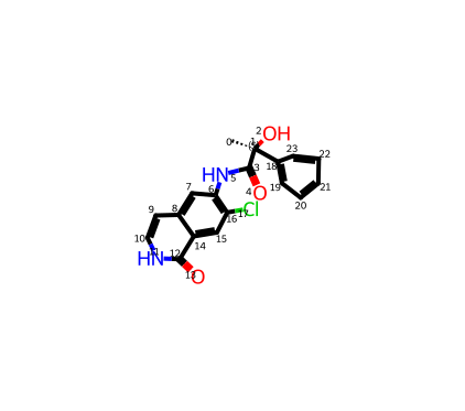 C[C@@](O)(C(=O)Nc1cc2cc[nH]c(=O)c2cc1Cl)c1ccccc1